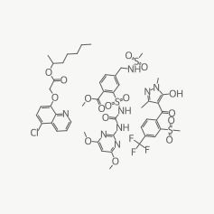 CCCCCC(C)OC(=O)COc1ccc(Cl)c2cccnc12.COC(=O)c1ccc(CNS(C)(=O)=O)cc1S(=O)(=O)NC(=O)Nc1nc(OC)cc(OC)n1.Cc1nn(C)c(O)c1C(=O)c1ccc(C(F)(F)F)cc1S(C)(=O)=O